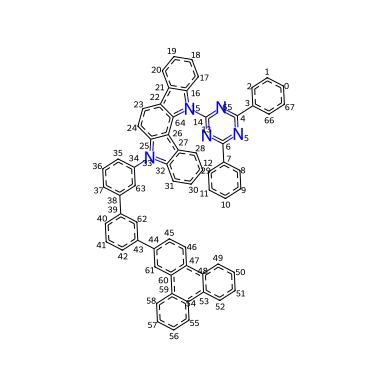 c1ccc(-c2nc(-c3ccccc3)nc(-n3c4ccccc4c4ccc5c(c6ccccc6n5-c5cccc(-c6cccc(-c7ccc8c9ccccc9c9ccccc9c8c7)c6)c5)c43)n2)cc1